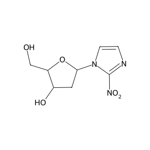 O=[N+]([O-])c1nccn1C1CC(O)C(CO)O1